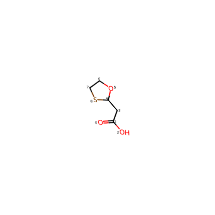 O=C(O)CC1OCCS1